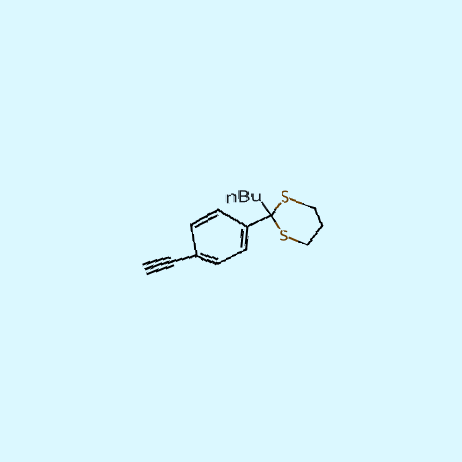 C#Cc1ccc(C2(CCCC)SCCCS2)cc1